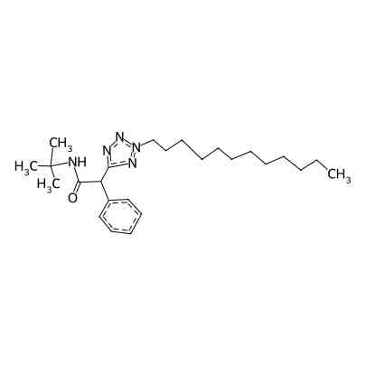 CCCCCCCCCCCCn1nnc(C(C(=O)NC(C)(C)C)c2ccccc2)n1